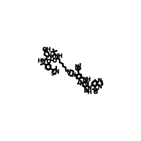 COc1cc(N2CCN(CCCCCCC(=O)N[C@H](C(=O)N3CC(O)CC3C(=O)NC(C)c3ccc(-c4scnc4C)cc3)C(C)(C)C)CC2)c(-c2cnn(C)c2)cc1Nc1ncc(Br)c(Nc2ccc3nccnc3c2P(C)(C)=O)n1